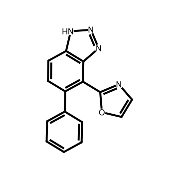 c1ccc(-c2ccc3[nH]nnc3c2-c2ncco2)cc1